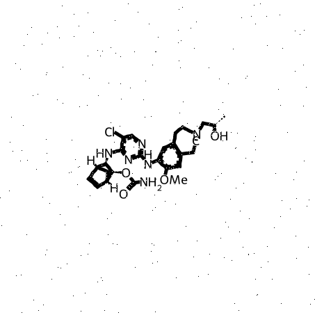 COc1cc2c(cc1Nc1ncc(Cl)c(N[C@H]3[C@@H](OC(N)=O)[C@@H]4C=C[C@H]3C4)n1)CCN(C[C@H](C)O)CC2